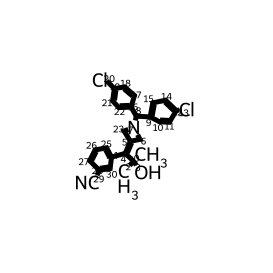 CC(C)(O)C(=C1CN(C(c2ccc(Cl)cc2)c2ccc(Cl)cc2)C1)c1cccc(C#N)c1